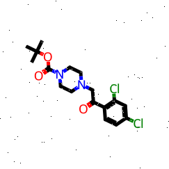 CC(C)(C)OC(=O)N1CCN(CC(=O)c2ccc(Cl)cc2Cl)CC1